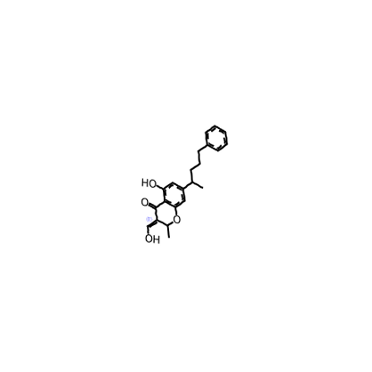 CC1Oc2cc(C(C)CCCc3ccccc3)cc(O)c2C(=O)/C1=C/O